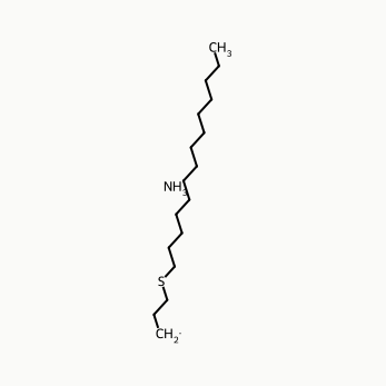 N.[CH2]CCSCCCCCCCCCCCCCC